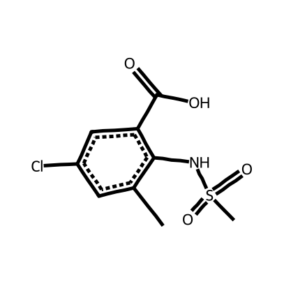 Cc1cc(Cl)cc(C(=O)O)c1NS(C)(=O)=O